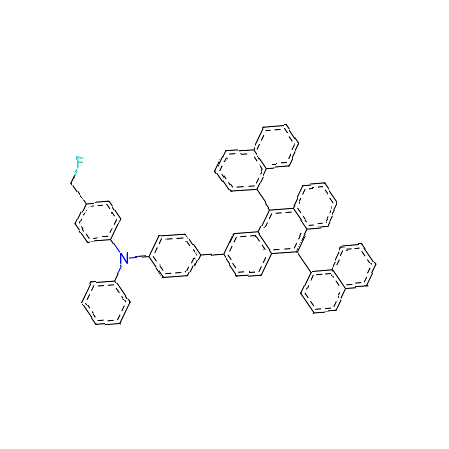 FCc1ccc(N(c2ccccc2)c2ccc(-c3ccc4c(-c5cccc6ccccc56)c5ccccc5c(-c5cccc6ccccc56)c4c3)cc2)cc1